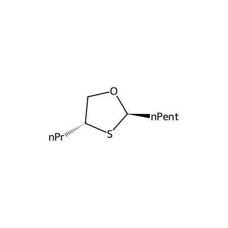 CCCCC[C@@H]1OC[C@@H](CCC)S1